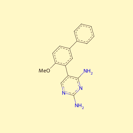 COc1ccc(-c2ccccc2)cc1-c1cnc(N)nc1N